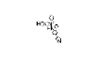 O=C(Nc1ccc(-c2ccncc2)cc1)C(Cc1ccccc1)N1CCC(O)CC1